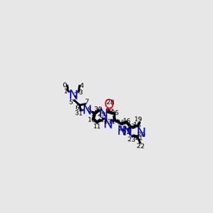 CCN(CC)CC1CN(c2ccc3nc(-c4cc5c(C)nc(C)cn5n4)cc(=O)n3c2)C1